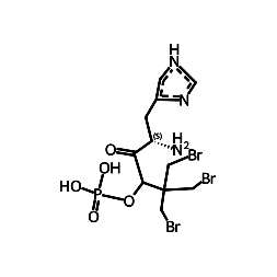 N[C@@H](Cc1c[nH]cn1)C(=O)C(OP(=O)(O)O)C(CBr)(CBr)CBr